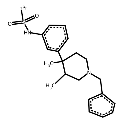 CCCS(=O)(=O)Nc1cccc(C2(C)CCN(Cc3ccccc3)CC2C)c1